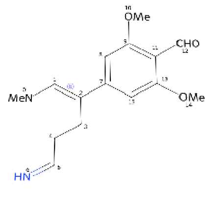 CN/C=C(\CCC=N)c1cc(OC)c(C=O)c(OC)c1